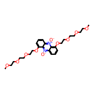 COCCOCCOCCOc1cccc2c1[n+]([O-])c1cccc(OCCOCCOCCOC)c1[n+]2[O-]